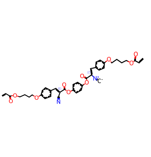 [C-]#[N+]/C(=C\c1ccc(OCCCCOC(=O)C=C)cc1)C(=O)Oc1ccc(OC(=O)/C(C#N)=C/c2ccc(OCCCCOC(=O)C=C)cc2)cc1